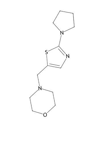 c1nc(N2CCCC2)sc1CN1CCOCC1